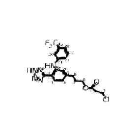 O=C(CCCl)OCCCc1ccc(-c2nn[nH]n2)c(Nc2cccc(C(F)(F)F)c2)c1